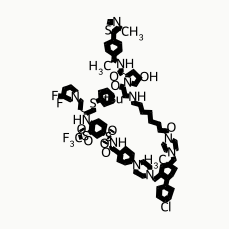 Cc1ncsc1-c1ccc([C@H](C)NC(=O)[C@@H]2C[C@@H](O)CN2C(=O)[C@@H](NCCCCCCCC(=O)N2CCN(C[C@]3(C)CCC(c4ccc(Cl)cc4)=C(CN4CCN(c5ccc(C(=O)NS(=O)(=O)c6ccc(N[C@H](CCN7CCCC(F)(F)C7)CSc7ccccc7)c(S(=O)(=O)C(F)(F)F)c6)cc5)CC4)C3)CC2)C(C)(C)C)cc1